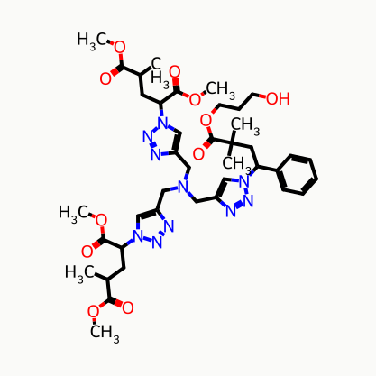 COC(=O)C(C)CC(C(=O)OC)n1cc(CN(Cc2cn(C(CC(C)C(=O)OC)C(=O)OC)nn2)Cc2cn(C(CC(C)(C)C(=O)OCCCO)c3ccccc3)nn2)nn1